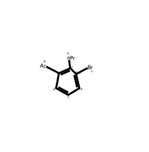 CCCc1c(Br)cccc1C(C)=O